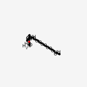 CC(C)[C@H](NC(=O)CCOCCOCCOCCOCCOCCOCCOCCOCCNC(=O)CCC(C)(C)C)C(=O)N[C@@H](CCCNC(N)=O)C(=O)C(C)(C)C